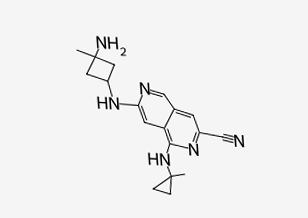 CC1(N)CC(Nc2cc3c(NC4(C)CC4)nc(C#N)cc3cn2)C1